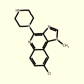 Cn1cnc2c(N3CCNCC3)nc3ccc(Cl)cc3c21